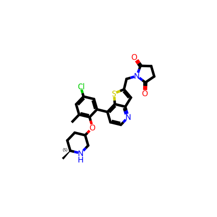 Cc1cc(Cl)cc(-c2ccnc3cc(CN4C(=O)CCC4=O)sc23)c1OC1CC[C@H](C)NC1